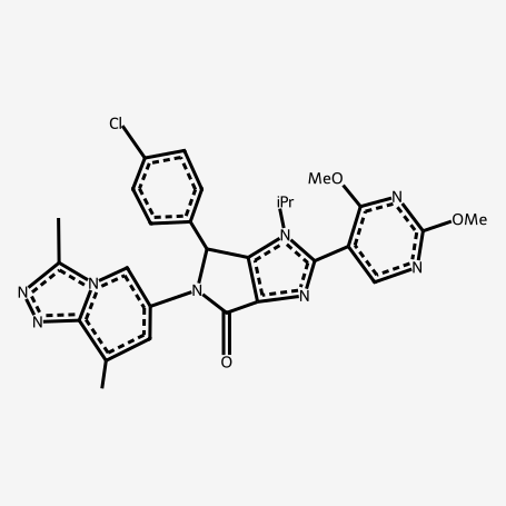 COc1ncc(-c2nc3c(n2C(C)C)C(c2ccc(Cl)cc2)N(c2cc(C)c4nnc(C)n4c2)C3=O)c(OC)n1